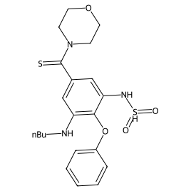 CCCCNc1cc(C(=S)N2CCOCC2)cc(N[SH](=O)=O)c1Oc1ccccc1